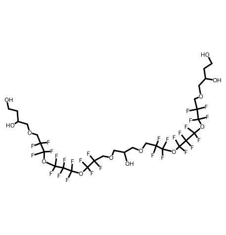 OCCC(O)COCC(F)(F)C(F)(F)OC(F)(F)C(F)(F)C(F)(F)OC(F)(F)C(F)(F)COCC(O)COCC(F)(F)C(F)(F)OC(F)(F)C(F)(F)C(F)(F)OC(F)(F)C(F)(F)COCC(O)CCO